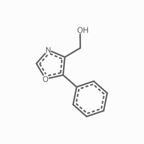 OCc1ncoc1-c1ccccc1